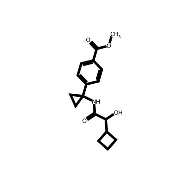 COC(=O)c1ccc(C2(NC(=O)C(O)C3CCC3)CC2)cc1